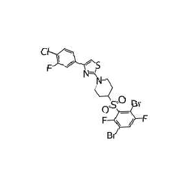 O=S(=O)(c1c(F)c(Br)cc(F)c1Br)C1CCN(c2nc(-c3ccc(Cl)c(F)c3)cs2)CC1